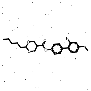 CCCCCC1OCC(C(=O)Oc2ccc(-c3ccc(CC)cc3F)cc2)CO1